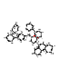 c1ccc(-c2ccccc2N(c2ccc(-c3cc4ccccc4c4ccccc34)cc2)c2ccc3c(c2)C2(CC4CCC2C4)c2ccccc2-3)cc1